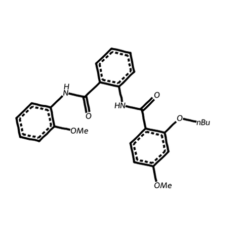 CCCCOc1cc(OC)ccc1C(=O)Nc1ccccc1C(=O)Nc1ccccc1OC